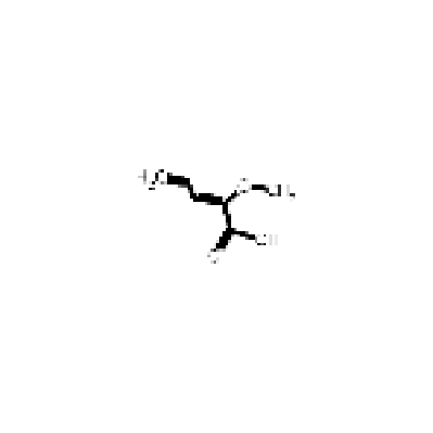 C=CC=C(OC)C(=O)O